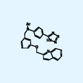 CC(=O)N(Cc1cccc(OCc2ccc3ccccc3n2)c1)c1ccc(-c2nnn[nH]2)cc1